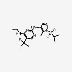 CCNc1nc(Nc2cnn(S(=O)(=O)C(C)C)c2C)ncc1C(F)(F)F